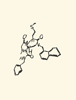 CSCC[C@H]1C(=O)N(Cc2cccc3ccccc23)C[C@H]2N1C(=O)CN(C)N2C(=O)NCc1ccccc1